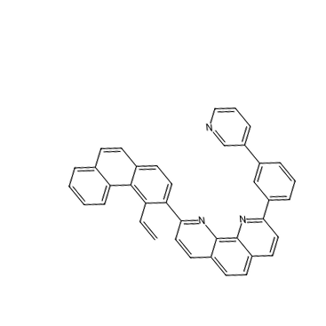 C=Cc1c(-c2ccc3ccc4ccc(-c5cccc(-c6cccnc6)c5)nc4c3n2)ccc2ccc3ccccc3c12